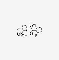 O=C(Nc1ccc2c(c1)B(O)OCC2)c1c(F)cccc1Cl